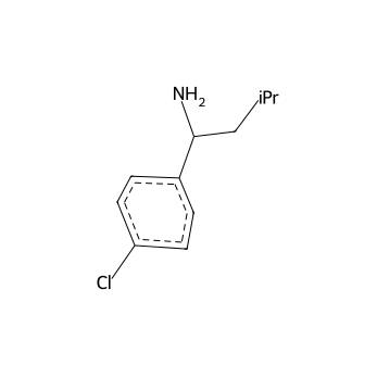 CC(C)CC(N)c1ccc(Cl)cc1